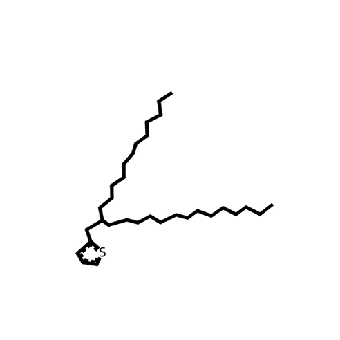 CCCCCCCCCCCCCCC(CCCCCCCCCCCC)Cc1cccs1